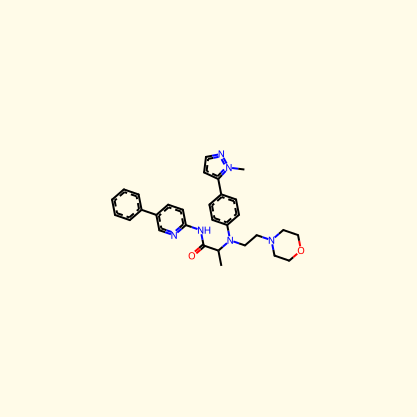 CC(C(=O)Nc1ccc(-c2ccccc2)cn1)N(CCN1CCOCC1)c1ccc(-c2ccnn2C)cc1